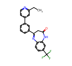 CCc1cc(-c2cccc(C3=Nc4ccc(C(F)(F)F)cc4NC(=O)C3)c2)ccn1